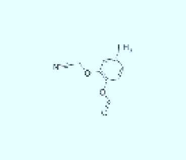 Cc1ccc(OC=O)c(OCC#N)c1